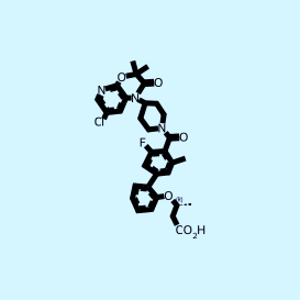 Cc1cc(-c2ccccc2O[C@H](C)CC(=O)O)cc(F)c1C(=O)N1CCC(N2C(=O)C(C)(C)Oc3ncc(Cl)cc32)CC1